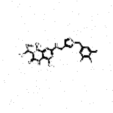 CO[C@H](C)[C@H]1C(=O)Nc2c(C)nc(NCc3cnn(Cc4cc(F)c(F)c(F)c4)c3)nc2N1C